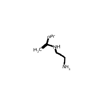 C=C(CCC)NCCN